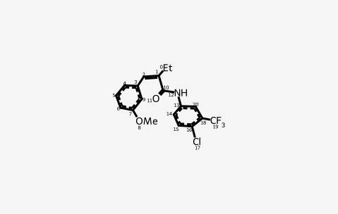 CCC(=Cc1cccc(OC)c1)C(=O)Nc1ccc(Cl)c(C(F)(F)F)c1